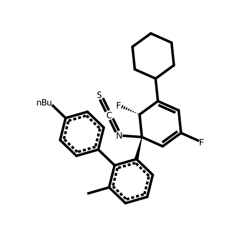 CCCCc1ccc(-c2c(C)cccc2[C@]2(N=C=S)C=C(F)C=C(C3CCCCC3)[C@H]2F)cc1